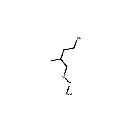 CC(C)CCC(C)COOC(C)(C)C